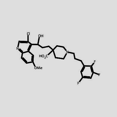 COc1ccc2ncc(Cl)c(C(O)CCC3(C(=O)O)CCN(CCCc4cc(F)cc(F)c4F)CC3)c2c1